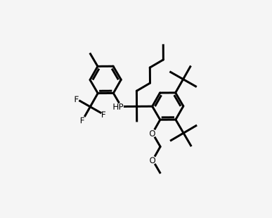 CCCCCC(C)(Pc1ccc(C)cc1C(F)(F)F)c1cc(C(C)(C)C)cc(C(C)(C)C)c1OCOC